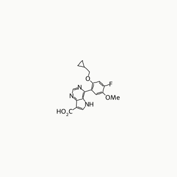 COc1cc(-c2ncnc3c(C(=O)O)c[nH]c23)c(OCC2CC2)cc1F